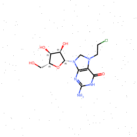 Nc1nc2c(c(=O)[nH]1)N(CCCl)CN2[C@@H]1O[C@H](CO)[C@@H](O)[C@H]1O